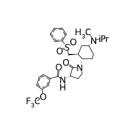 CC(C)N(C)[C@@H]1CC[C@H](N2CC[C@H](NC(=O)c3cccc(OC(F)(F)F)c3)C2=O)[C@@H](CS(=O)(=O)c2ccccc2)C1